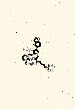 CCCCN(CCCCN(C)C)C(=O)CN1C[C@H](c2ccc3c(c2)CCO3)[C@@H](C(=O)O)[C@@H]1CCN1CCCN(C)C1=O